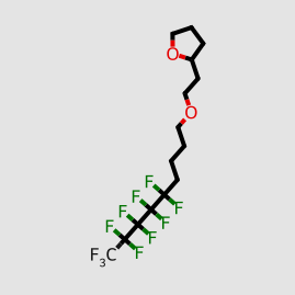 FC(F)(F)C(F)(F)C(F)(F)C(F)(F)C(F)(F)CCCCOCCC1CCCO1